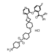 CC(C)N(C(=O)c1cc(F)ccc1Oc1cncnc1N1CC2(CCN(CC3CCN(S(=O)(=O)N4CCC(N)CC4)CC3)CC2)C1)C(C)C.Cl